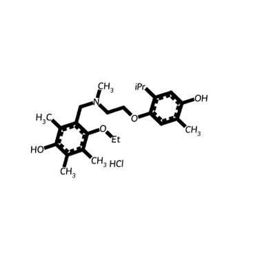 CCOc1c(C)c(C)c(O)c(C)c1CN(C)CCOc1cc(C)c(O)cc1C(C)C.Cl